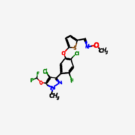 CON=Cc1ccc(Oc2cc(-c3nn(C)c(OC(F)F)c3Cl)c(F)cc2Cl)s1